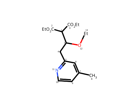 CCOC(=O)C(C(=O)OCC)C(Cc1cc(C)ccn1)OCC